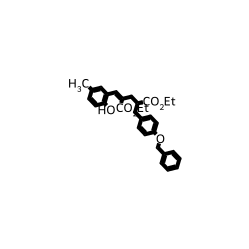 CCOC(=O)/C(=C\c1cc(C)ccc1O)CC(Cc1ccc(OCc2ccccc2)cc1)C(=O)OCC